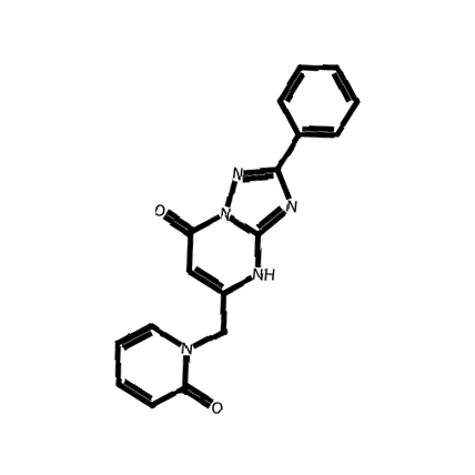 O=c1ccccn1Cc1cc(=O)n2nc(-c3ccccc3)nc2[nH]1